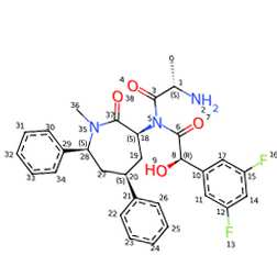 C[C@H](N)C(=O)N(C(=O)[C@H](O)c1cc(F)cc(F)c1)[C@H]1C[C@@H](c2ccccc2)C[C@@H](c2ccccc2)N(C)C1=O